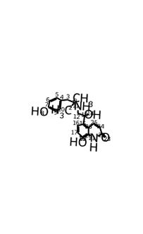 CC(C)(Cc1ccc(O)cc1)NCC(O)c1ccc(O)c2[nH]c(=O)ccc12